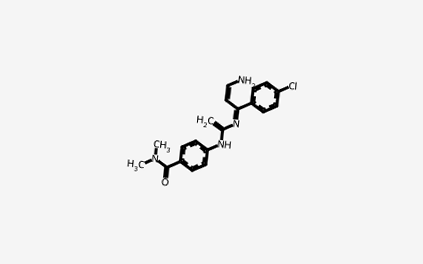 C=C(/N=C(\C=C/N)c1ccc(Cl)cc1)Nc1ccc(C(=O)N(C)C)cc1